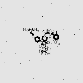 CC(C)[C@@H](NC(=O)c1cc(C(F)(F)F)ccc1F)C(=O)N1CCC2(CC1)C(=O)N(C)C(=O)N2c1ccc(OCCN(C)C)cc1.O=C(O)C(F)(F)F